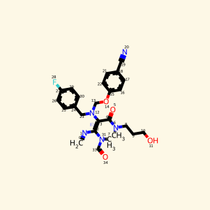 C=N/C(=C(/C(=O)N(C)CCCO)N(COc1ccc(C#N)cc1)Cc1ccc(F)cc1)N(C)C=O